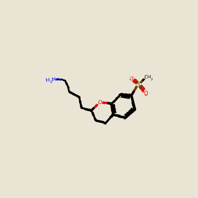 CS(=O)(=O)c1ccc2c(c1)OC(CCCCN)CC2